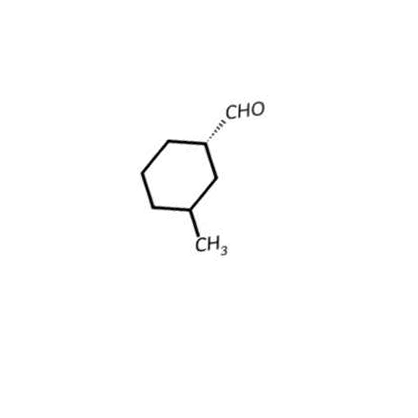 CC1CCC[C@H](C=O)C1